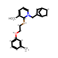 O=C(O)C1=CC=CN(CC2CC3CCC2C3)C1SCCOc1cccc(C(F)(F)F)c1